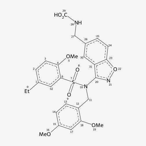 CCc1ccc(OC)c(S(=O)(=O)N(Cc2ccc(OC)cc2OC)c2noc3ccc(CNC(=O)O)cc23)c1